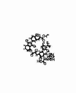 CCOC(=O)/C(Cl)=C/c1cc(N2C(=O)C3=C(CCCC3)C2=O)ccc1Cl.Cc1nn(-c2cc(CC(Cl)C(=O)O)c(Cl)cc2F)c(=O)n1C(F)F.O=C(O)CNCP(=O)(O)O